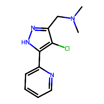 CN(C)Cc1n[nH]c(-c2ccccn2)c1Cl